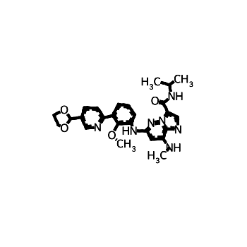 CNc1cc(Nc2cccc(-c3ccc(C4OCCO4)cn3)c2OC)nn2c(C(=O)NC(C)C)cnc12